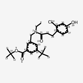 CCN(Cc1cc(C(=O)OC(C)(C)C)cc(C(C)(C)C)c1)C(=O)CCc1ccc(O)cc1Cl